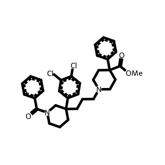 COC(=O)C1(c2ccccc2)CCN(CCCC2(c3ccc(Cl)c(Cl)c3)CCCN(C(=O)c3ccccc3)C2)CC1